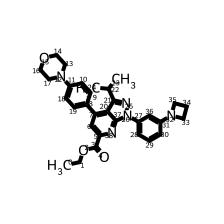 CCOC(=O)c1cc(-c2ccc(N3CCOCC3)cc2)c2c(C(C)C)nn(-c3cccc(N4CCC4)c3)c2n1